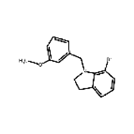 COc1cccc(CN2CCc3cccc(Br)c32)c1